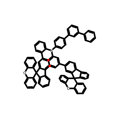 c1ccc(-c2cccc(-c3ccc(N(c4cccc(-c5ccc6c(c5)C5(c7ccccc7Oc7ccccc75)c5ccccc5-6)c4)c4ccccc4-c4ccc5c(c4)C4(c6ccccc6Oc6ccccc64)c4ccccc4-5)cc3)c2)cc1